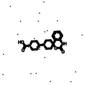 O=C1Nc2ccccc2C2(CCN(C3CCN(C(=O)O)CC3)CC2)O1